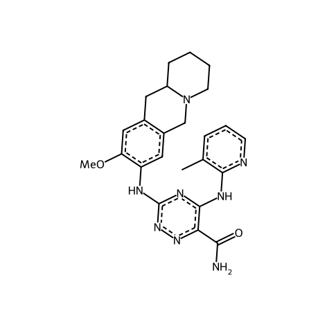 COc1cc2c(cc1Nc1nnc(C(N)=O)c(Nc3ncccc3C)n1)CN1CCCCC1C2